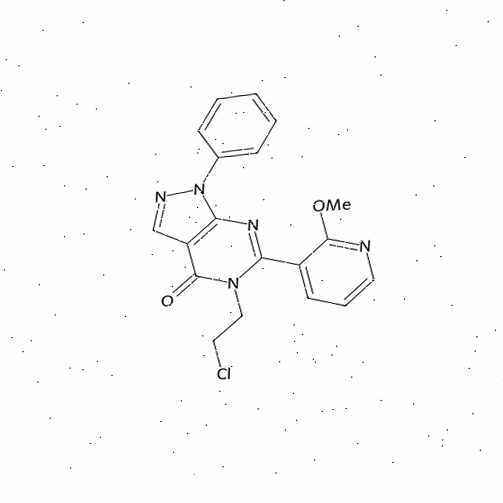 COc1ncccc1-c1nc2c(cnn2-c2ccccc2)c(=O)n1CCCl